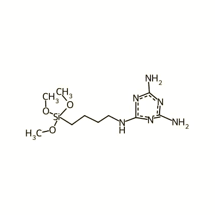 CO[Si](CCCCNc1nc(N)nc(N)n1)(OC)OC